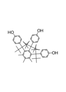 Cc1c(C)c(C(c2ccc(O)cc2)(C(C)(C)C)C(C)(C)C)c(C(c2ccc(O)cc2)(C(C)(C)C)C(C)(C)C)c(C(c2ccc(O)cc2)(C(C)(C)C)C(C)(C)C)c1C